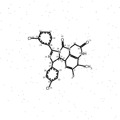 CC1C(F)=CC2(C)C3=C1NC(=O)CN3C(=O)N1C(c3cccc(Cl)c3)=NC(c3ccc(Cl)cc3)C12